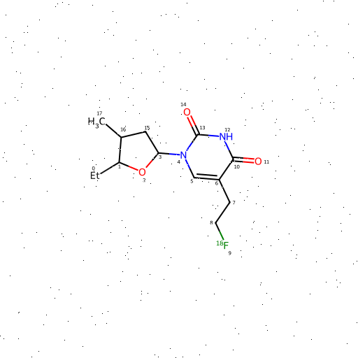 CCC1OC(n2cc(CC[18F])c(=O)[nH]c2=O)CC1C